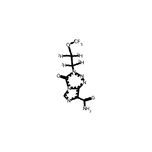 [2H]C([2H])(OC(F)(F)F)C([2H])([2H])n1nnc2c(C(N)=O)ncn2c1=O